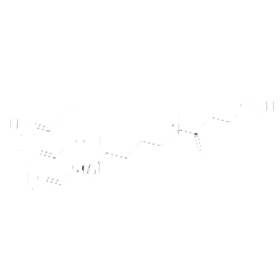 C=CC(=O)O.C=CC(=O)O.C=CC(=O)O.O=C(O)CCC(=O)NCCCCO